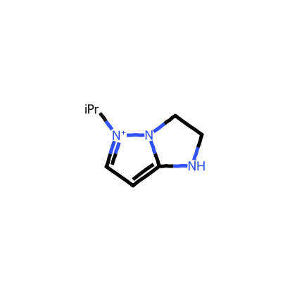 CC(C)[n+]1ccc2n1CCN2